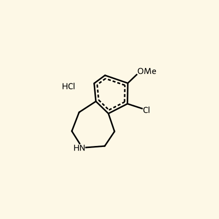 COc1ccc2c(c1Cl)CCNCC2.Cl